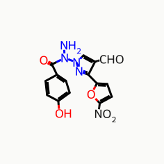 NN(C(=O)c1ccc(O)cc1)n1cc(C=O)c(-c2ccc([N+](=O)[O-])o2)n1